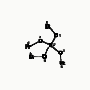 CC[O][Ti]([O]CC)([O]CC)[O]C(C)C